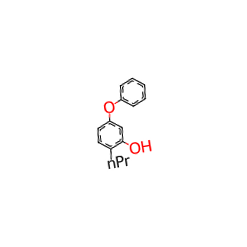 CCCc1ccc(Oc2ccccc2)cc1O